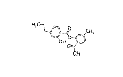 CCCc1ccc(C(=O)Oc2cc(C)ccc2C(=O)O)c(O)c1